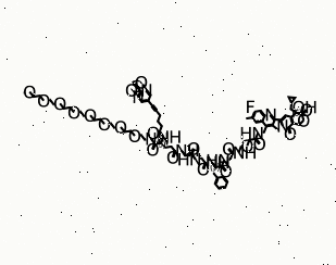 COCCOCCOCCOCCOCCOCCOCCOCCNC(=O)[C@H](CCC(=O)NCC(=O)NCC(=O)N[C@@H](Cc1ccccc1)C(=O)NCC(=O)NCOCC(=O)NCc1c2c(nc3cc(F)c(C)cc13)-c1cc3c(c(=O)n1C2)COC(=O)[C@]3(O)CC1CC1)NC(=O)CCCC#Cc1cnc(S(C)(=O)=O)nc1